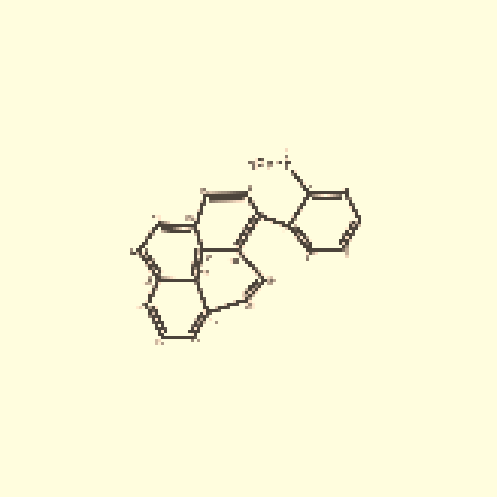 CCCCCc1ccccc1-c1ccc2ccc3cccc4ccc1c2c34